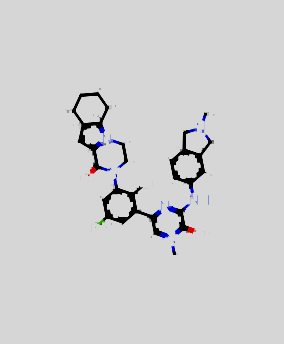 CCc1c(-c2cn(C)c(=O)c(Nc3ccc4c(c3)CN(C)C4)n2)cc(F)cc1N1CCn2c(cc3c2CCCC3)C1=O